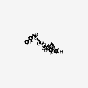 COc1c(N2CCNC(C)C2)c(F)cc2c(=O)c(C(=O)OCOC(=O)CCCOC(=O)C(C)c3ccc(-c4ccccc4)c(F)c3)cn(C3CC3)c12